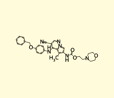 Cc1c(NC(=O)OCCN2CCOCC2)cn2ncc(C#N)c(Nc3ccc(OCc4ccccc4)cc3)c12